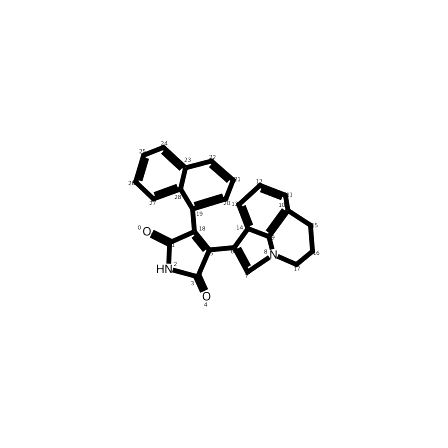 O=C1NC(=O)C(c2cn3c4c(cccc24)CCC3)=C1c1cccc2ccccc12